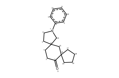 O=C1CCC2(CCN(c3ccccc3)C2)CC12CCCC2